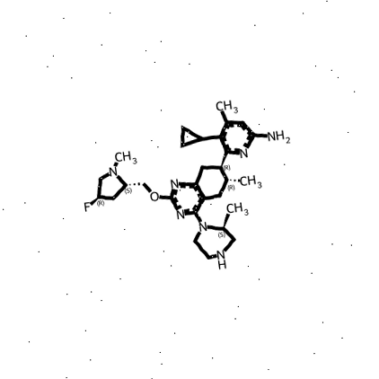 Cc1cc(N)nc([C@@H]2Cc3nc(OC[C@@H]4C[C@@H](F)CN4C)nc(N4CCNC[C@@H]4C)c3C[C@H]2C)c1C1CC1